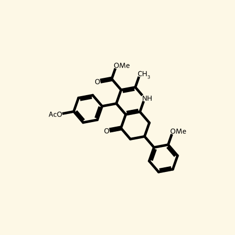 COC(=O)C1=C(C)NC2=C(C(=O)CC(c3ccccc3OC)C2)C1c1ccc(OC(C)=O)cc1